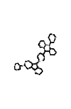 C1CCC(C2CCC3C(C2)C2CCCCC2N3C2CCC(C3C4CCCCC4C(C4CCCCC4)C4CCCCC43)CC2)CC1